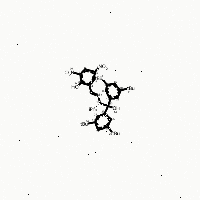 CC(C)[C@H](N=Cc1cc([N+](=O)[O-])cc([N+](=O)[O-])c1O)C(O)(c1cc(C(C)(C)C)cc(C(C)(C)C)c1)c1cc(C(C)(C)C)cc(C(C)(C)C)c1